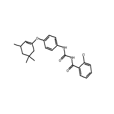 CC1C=C(Oc2ccc(NC(=O)NC(=O)c3ccccc3Cl)cc2)CC(C)(C)C1